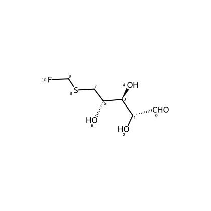 O=C[C@H](O)[C@H](O)[C@H](O)CSCF